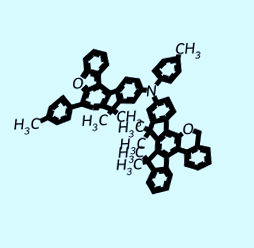 Cc1ccc(-c2cc3c(c4c2oc2ccccc24)-c2ccc(N(c4ccc(C)cc4)c4ccc5c(c4)C(C)(C)c4c-5c5c(c6c4C(C)(C)c4ccccc4-6)-c4ccccc4CO5)cc2C3(C)C)cc1